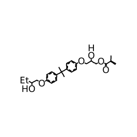 C=C(C)C(=O)OCC(O)COc1ccc(C(C)(C)c2ccc(OCC(O)CC)cc2)cc1